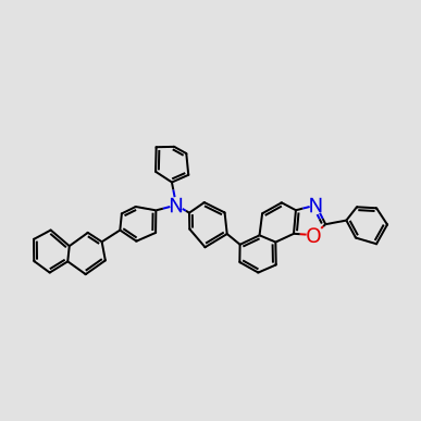 c1ccc(-c2nc3ccc4c(-c5ccc(N(c6ccccc6)c6ccc(-c7ccc8ccccc8c7)cc6)cc5)cccc4c3o2)cc1